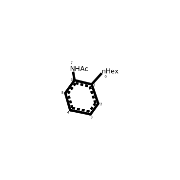 [CH2]CCCCCc1ccccc1NC(C)=O